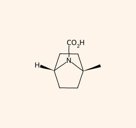 C[C@]12CC[C@H](CC1)N2C(=O)O